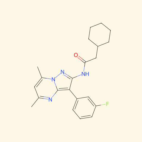 Cc1cc(C)n2nc(NC(=O)CC3CCCCC3)c(-c3cccc(F)c3)c2n1